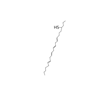 CCCCCC=CCC=CCC=CCC=CCCCC(S)CCC